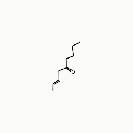 CC=CCC(=O)CCCC